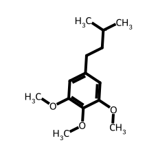 COc1cc(CC[C](C)C)cc(OC)c1OC